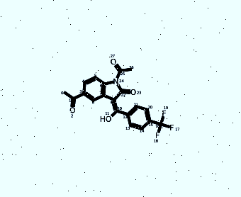 CC(=O)c1ccc2c(c1)C(=C(O)c1ccc(C(F)(F)F)cc1)C(=O)N2C(C)=O